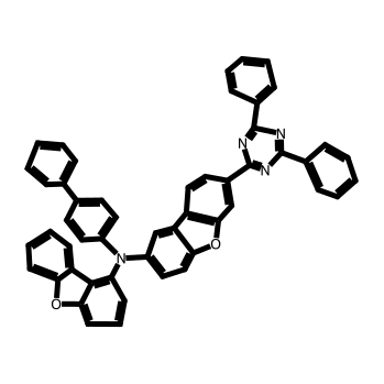 c1ccc(-c2ccc(N(c3ccc4oc5cc(-c6nc(-c7ccccc7)nc(-c7ccccc7)n6)ccc5c4c3)c3cccc4oc5ccccc5c34)cc2)cc1